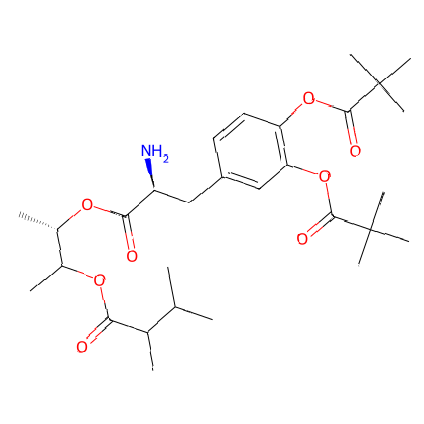 CC(C)C(C)C(=O)OC(C)[C@H](C)OC(=O)[C@@H](N)Cc1ccc(OC(=O)C(C)(C)C)c(OC(=O)C(C)(C)C)c1